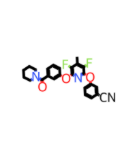 Cc1c(F)c(Oc2cccc(C#N)c2)nc(Oc2cccc(C(=O)N3CCCCC3)c2)c1F